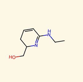 CCNC1=NC(CO)CC=C1